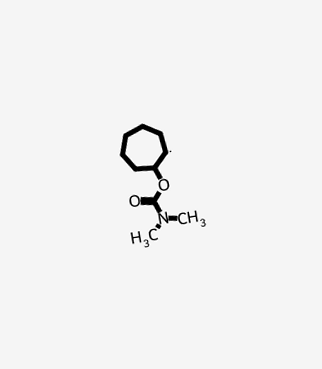 CN(C)C(=O)OC1[CH]CCCCC1